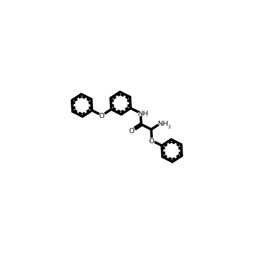 NC(Oc1ccccc1)C(=O)Nc1cccc(Oc2ccccc2)c1